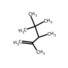 C=C(C)C(C)C(C)(C)C